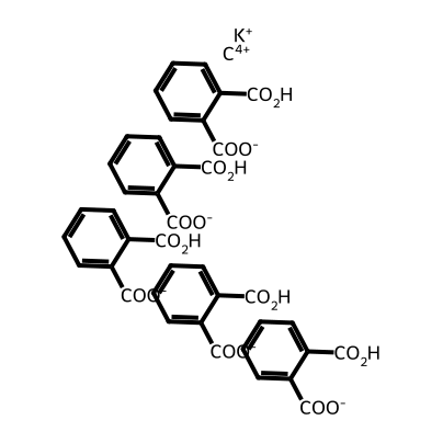 O=C([O-])c1ccccc1C(=O)O.O=C([O-])c1ccccc1C(=O)O.O=C([O-])c1ccccc1C(=O)O.O=C([O-])c1ccccc1C(=O)O.O=C([O-])c1ccccc1C(=O)O.[C+4].[K+]